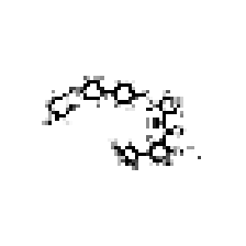 CN1CCN(Cc2ccc(-c3ccc(CO[C@H]4CNC[C@@H]4NC(=O)c4cc(-c5cnn(C)c5)cnc4N)cc3)cc2)CC1